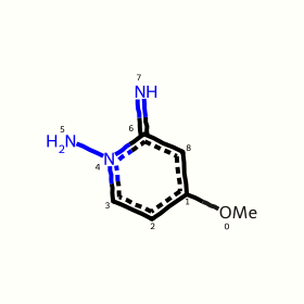 COc1ccn(N)c(=N)c1